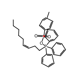 CCCCC/C=C\CCP(OS(=O)(=O)c1ccc(C)cc1)(c1ccccc1)(c1ccccc1)c1ccccc1